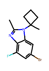 Cc1nc2c(F)cc(Br)cc2n1C1(C)CCC1